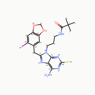 CC(C)(C)C(=O)NCCCn1c(Cc2cc3c(cc2I)OCO3)nc2c(N)nc(F)nc21